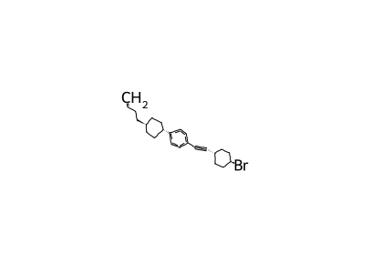 C=CCC[C@H]1CC[C@H](c2ccc(C#C[C@H]3CC[C@H](Br)CC3)cc2)CC1